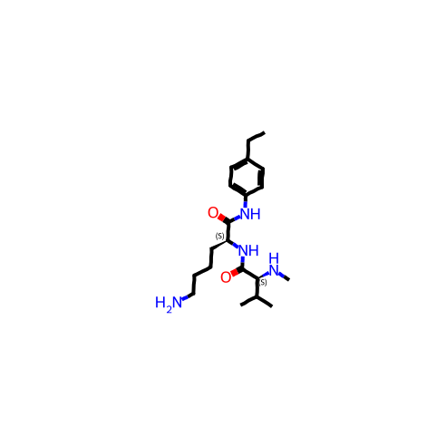 CCc1ccc(NC(=O)[C@H](CCCCN)NC(=O)[C@@H](NC)C(C)C)cc1